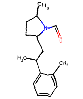 Cc1ccccc1C(C)CC1CCC(C)N1C=O